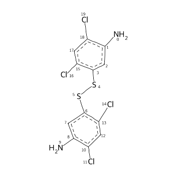 Nc1cc(SSc2cc(N)c(Cl)cc2Cl)c(Cl)cc1Cl